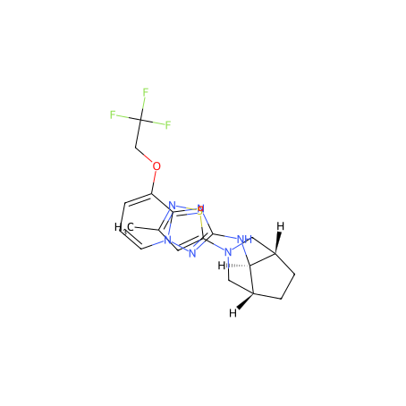 Cc1cc(N2C[C@H]3CC[C@@H](C2)[C@@H]3Nc2nc3c(OCC(F)(F)F)cccn3n2)sn1